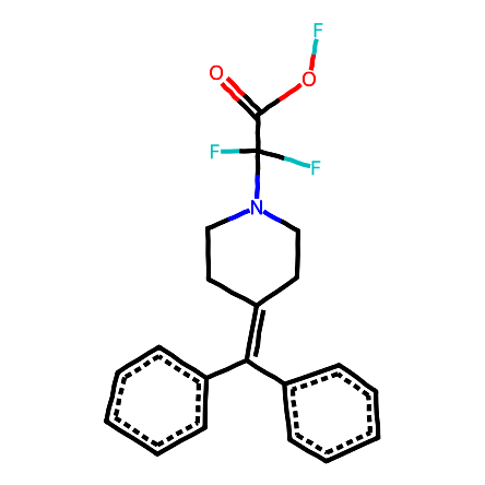 O=C(OF)C(F)(F)N1CCC(=C(c2ccccc2)c2ccccc2)CC1